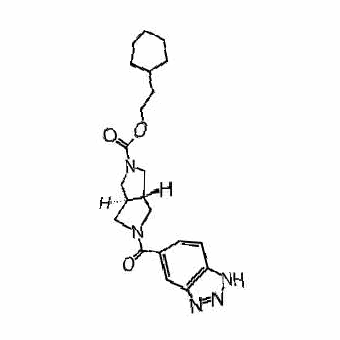 O=C(OCCC1CCCCC1)N1C[C@@H]2CN(C(=O)c3ccc4[nH]nnc4c3)C[C@H]2C1